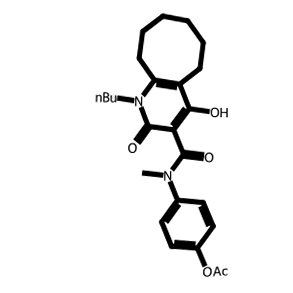 CCCCn1c2c(c(O)c(C(=O)N(C)c3ccc(OC(C)=O)cc3)c1=O)CCCCCC2